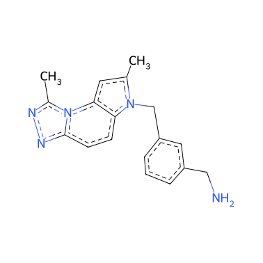 Cc1cc2c(ccc3nnc(C)n32)n1Cc1cccc(CN)c1